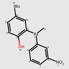 C[As](c1cccc([N+](=O)[O-])c1)c1cc(C(C)(C)C)ccc1O